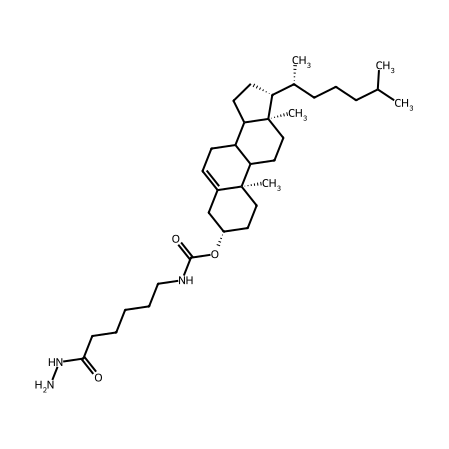 CC(C)CCC[C@@H](C)[C@H]1CCC2C3CC=C4C[C@@H](OC(=O)NCCCCCC(=O)NN)CC[C@]4(C)C3CC[C@@]21C